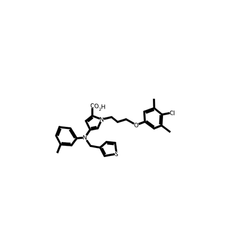 Cc1cccc(N(Cc2ccsc2)c2cc(C(=O)O)n(CCCOc3cc(C)c(Cl)c(C)c3)c2)c1